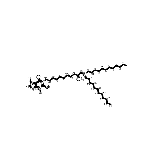 CCCCCCCCCCCCN(CCCCCCCCCCCC)CC(O)CCCCCCCCCn1c(=O)c2c(ncn2C)n(C)c1=O